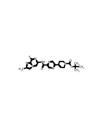 Cc1cn2cc(NC(=O)c3cnc(C4=CCN(C(=O)OC(C)(C)C)CC4)cn3)nc(F)c2n1